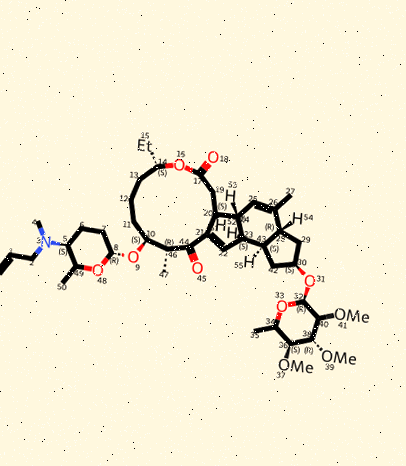 C=CCN(C)[C@H]1CC[C@H](O[C@H]2CCC[C@H](CC)OC(=O)C[C@@H]3C(=C[C@@H]4[C@H]3C=C(C)[C@@H]3C[C@@H](O[C@@H]5OC(C)[C@H](OC)[C@@H](OC)C5OC)C[C@@H]43)C(=O)[C@@H]2C)OC1C